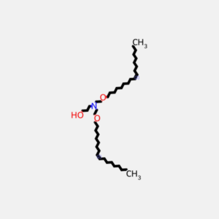 CCCCCCCC/C=C\CCCCCCCCOCCN(CCCO)CCOCCCCCCCC/C=C\CCCCCCCC